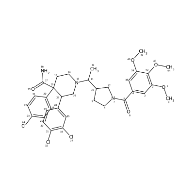 COc1cc(C(=O)N2CCC(C(C)N3CCC(C(N)=O)(c4ccc(Cl)cc4)C(c4ccc(Cl)c(Cl)c4)C3)C2)cc(OC)c1OC